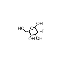 OC[C@H]1O[C@@H](O)[C@H](F)[C@H](O)[C@@H]1O